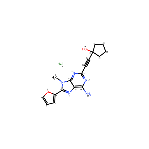 Cl.Cn1c(-c2ccco2)nc2c(N)nc(C#CC3(O)CCCC3)nc21